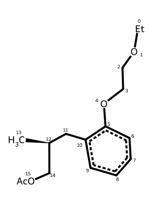 CCOCCOc1ccccc1C[C@H](C)COC(C)=O